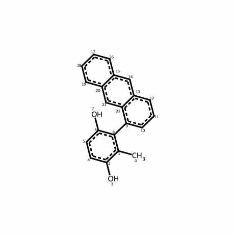 Cc1c(O)ccc(O)c1-c1cccc2cc3ccccc3cc12